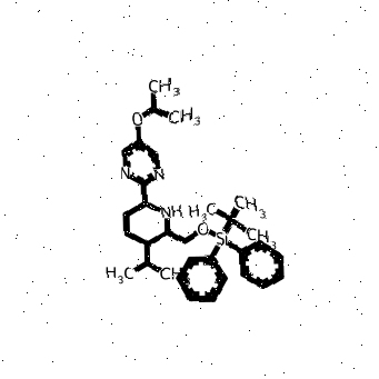 CC(C)Oc1cnc(C2CCC(C(C)C)C(CO[Si](c3ccccc3)(c3ccccc3)C(C)(C)C)N2)nc1